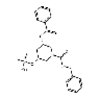 CC(C)(C)[Si](C)(C)O[C@@H]1C[C@H](OC(=O)c2ccccc2)CN(C(=O)OCc2ccccc2)C1